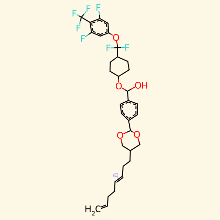 C=CCC/C=C/CCC1COC(c2ccc(C(O)OC3CCC(C(F)(F)Oc4cc(F)c(C(F)(F)F)c(F)c4)CC3)cc2)OC1